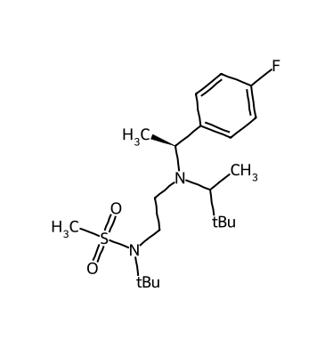 CC(N(CCN(C(C)(C)C)S(C)(=O)=O)[C@@H](C)c1ccc(F)cc1)C(C)(C)C